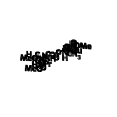 CC[C@H](C)N(C(=O)[C@@H](NC(=O)OC)C(C)C)[C@@H](C)c1ncc(-c2ccc3c(c2)COc2cc4c(ccc5nc(CN(C[C@H](C)COC)C(=O)[C@@H](NC(=O)OC)C(C)C)[nH]c54)cc2-3)[nH]1